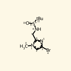 Cn1cc(Br)nc1CN[S+]([O-])C(C)(C)C